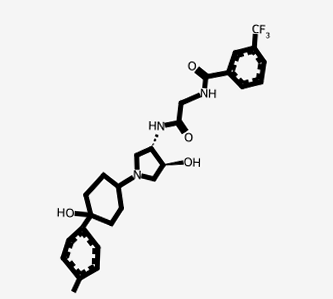 Cc1ccc(C2(O)CCC(N3C[C@H](NC(=O)CNC(=O)c4cccc(C(F)(F)F)c4)[C@@H](O)C3)CC2)cc1